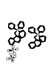 [Cl][Mn-]([Cl])([Cl])[Cl].[Cl][Mn-]([Cl])([Cl])[Cl].c1ccc([P+](Cc2cccc3ccccc23)(c2ccccc2)c2ccccc2)cc1.c1ccc([P+](Cc2cccc3ccccc23)(c2ccccc2)c2ccccc2)cc1